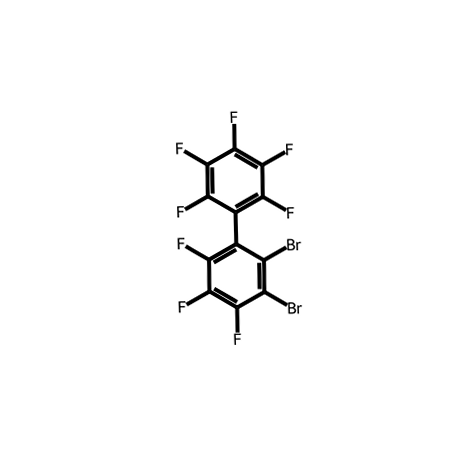 Fc1c(F)c(F)c(-c2c(F)c(F)c(F)c(Br)c2Br)c(F)c1F